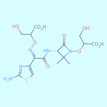 CC1(C)[C@H](NC(=O)/C(=N\OC(CO)C(=O)O)c2csc(N)n2)C(=O)N1OC(CO)C(=O)O